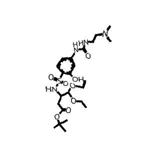 CCOC(OCC)C(CC(=O)OC(C)(C)C)NS(=O)(=O)c1ccc(NC(=O)NCCN(C)C)cc1O